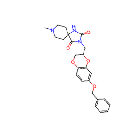 CN1CCC2(CC1)NC(=O)N(CC1COc3ccc(OCc4ccccc4)cc3O1)C2=O